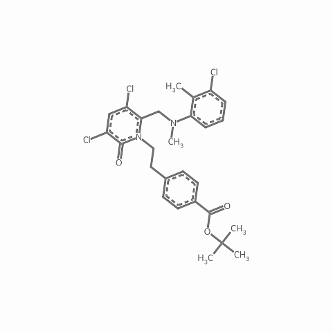 Cc1c(Cl)cccc1N(C)Cc1c(Cl)cc(Cl)c(=O)n1CCc1ccc(C(=O)OC(C)(C)C)cc1